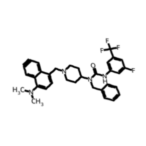 CN(C)c1ccc(CN2CCC(N(Cc3ccccc3)C(=O)Nc3cc(F)cc(C(F)(F)F)c3)CC2)c2cc#ccc12